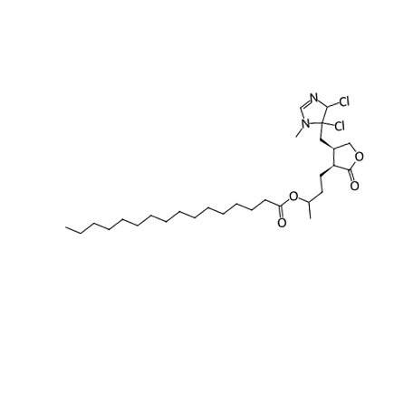 CCCCCCCCCCCCCCCC(=O)OC(C)CC[C@@H]1C(=O)OC[C@@H]1CC1(Cl)C(Cl)N=CN1C